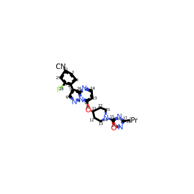 [C-]#[N+]c1ccc(-c2cnn3c(OC4CCN(c5nc(C(C)C)no5)CC4)ccnc23)c(F)c1